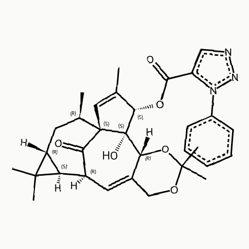 CC1=C[C@]23C(=O)[C@@H](C=C4COC(C)(C)O[C@H]4[C@]2(O)[C@H]1OC(=O)c1cnnn1-c1ccccc1)[C@@H]1[C@@H](C[C@H]3C)C1(C)C